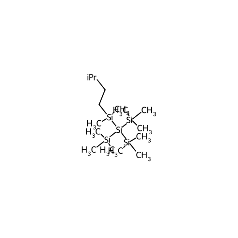 CC(C)CC[Si](C)(C)[Si]([Si](C)(C)C)([Si](C)(C)C)[Si](C)(C)C